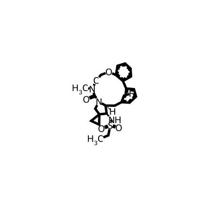 CCS(=O)(=O)N[C@@H]1[C@@H]2Cc3cccc(c3F)-c3ccccc3OCCN(C)C(=O)N2CC12CC2